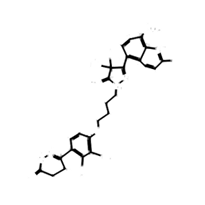 CCc1ccc2c(C3=NN(CCCCOc4ccc(C5=NNC(=O)CC5)c(F)c4F)C(=O)C3(C)C)ccc(OC)c2n1